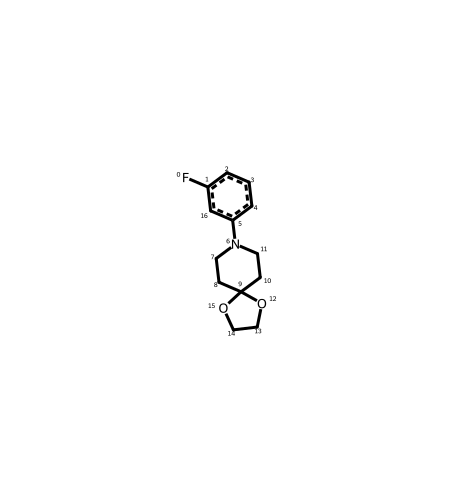 Fc1cccc(N2CCC3(CC2)OCCO3)c1